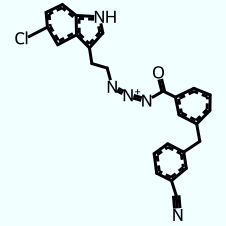 N#Cc1cccc(Cc2cccc(C(=O)N=[N+]=NCCc3c[nH]c4ccc(Cl)cc34)c2)c1